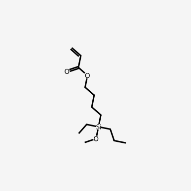 C=CC(=O)OCCCC[Si](CC)(CCC)OC